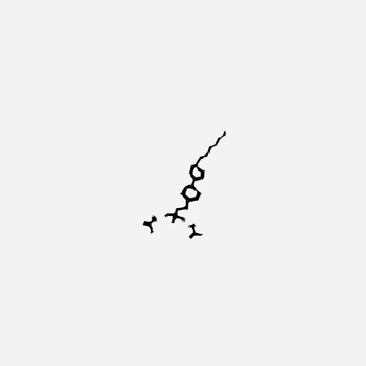 C=C(C)C(=O)OCC(C)(CCc1ccc(-c2ccc(CCCCCCC)cc2)cc1)COC(=O)C(=C)CO